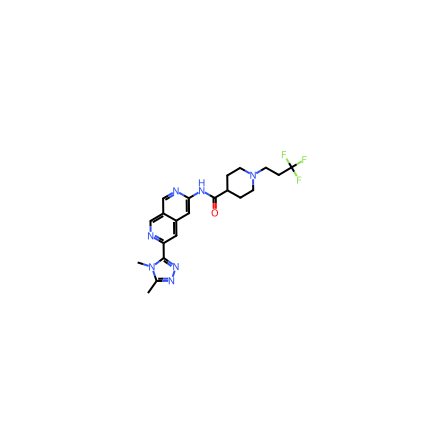 Cc1nnc(-c2cc3cc(NC(=O)C4CCN(CCC(F)(F)F)CC4)ncc3cn2)n1C